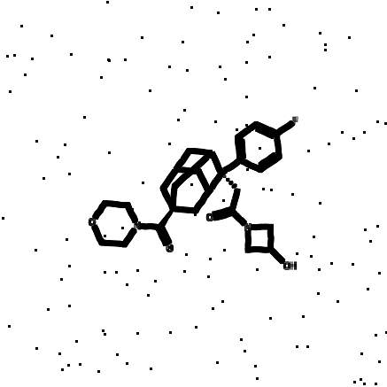 O=C(C[C@]1(c2ccc(F)cc2)C2CC3CC1C[C@@](C(=O)N1CCOCC1)(C3)C2)N1CC(O)C1